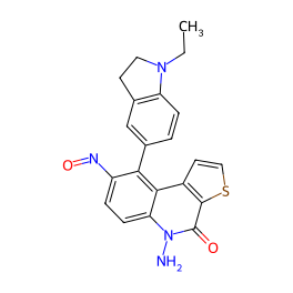 CCN1CCc2cc(-c3c(N=O)ccc4c3c3ccsc3c(=O)n4N)ccc21